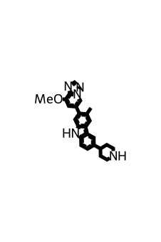 COc1cc(-c2cc3[nH]c4ccc(C5CCNCC5)cc4c3cc2C)cn2ncnc12